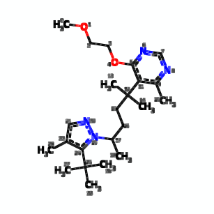 COCCOc1ncnc(C)c1C(C)(C)CCC(C)n1ncc(C)c1C(C)(C)C